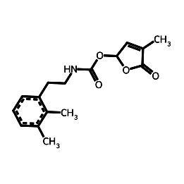 CC1=CC(OC(=O)NCCc2cccc(C)c2C)OC1=O